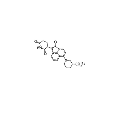 CCOC(=O)C1CCCN(c2ccc3c4c(cccc24)N(C2CCC(=O)NC2=O)C3=O)C1